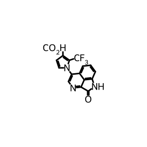 O=C(O)c1ccn(-c2cnc3c4c(cccc24)NC3=O)c1C(F)(F)F